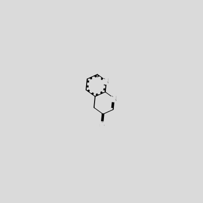 O=C1C=Nc2ncccc2C1